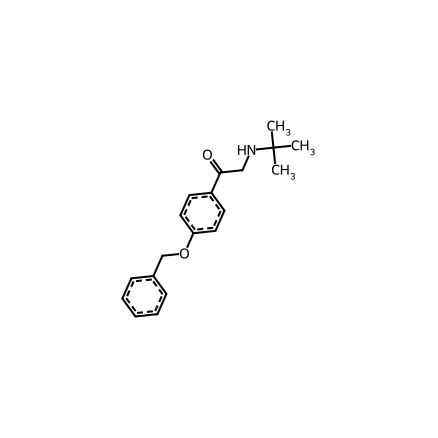 CC(C)(C)NCC(=O)c1ccc(OCc2ccccc2)cc1